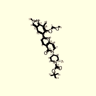 COCOc1c(-c2ccc3c(=O)n([C@H]4CCN(C(=O)OC(C)(C)C)[C@@H](C)C4)ccc3n2)cc2cn(C)nc2c1C